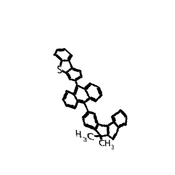 CC1(C)c2ccc(-c3c4ccccc4c(-c4ccc5c(c4)sc4ccccc45)c4ccccc34)cc2-c2c1ccc1ccccc21